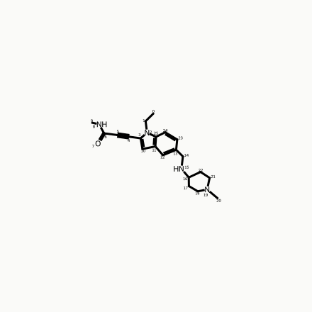 CCn1c(C#CC(=O)NC)cc2cc(CNC3CCN(C)CC3)ccc21